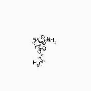 CCCCOC(=O)c1ccccc1OC(N)=O